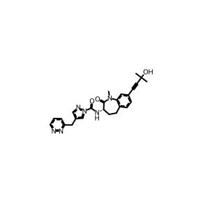 CN1C(=O)[C@@H](NC(=O)n2cc(Cc3cccnn3)cn2)CCc2ccc(C#CC(C)(C)O)cc21